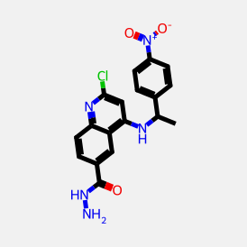 CC(Nc1cc(Cl)nc2ccc(C(=O)NN)cc12)c1ccc([N+](=O)[O-])cc1